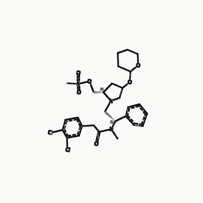 CN(C(=O)Cc1ccc(Cl)c(Cl)c1)[C@H](CN1CC(OC2CCCCO2)C[C@H]1COS(C)(=O)=O)c1ccccc1